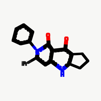 CC(C)c1cc2[nH]c3c(c(=O)c2c(=O)n1-c1ccccc1)CCC3